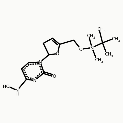 CC(C)(C)[Si](C)(C)OCC1=CCC(n2ccc(NO)nc2=O)O1